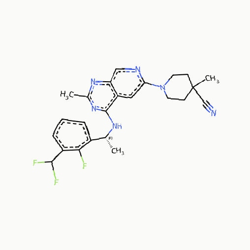 Cc1nc(N[C@H](C)c2cccc(C(F)F)c2F)c2cc(N3CCC(C)(C#N)CC3)ncc2n1